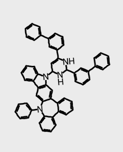 C1=C(c2cccc(-c3ccccc3)c2)NC(c2cccc(-c3ccccc3)c2)NC1n1c2ccccc2c2cc3c(cc21)-c1ccccc1-c1ccccc1N3c1ccccc1